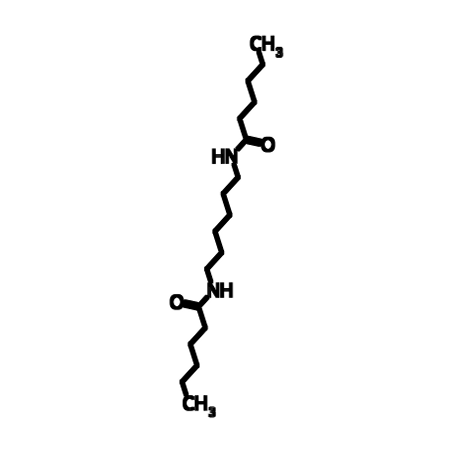 CCCCCC(=O)NCCCCCCNC(=O)CCCCC